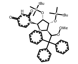 COOC([C@H]1O[C@@H](n2ccc(=O)[nH]c2=O)[C@H](O[Si](C)(C)C(C)(C)C)[C@@H]1O[Si](C)(C)C(C)(C)C)C(c1ccccc1)(c1ccccc1)c1ccccc1